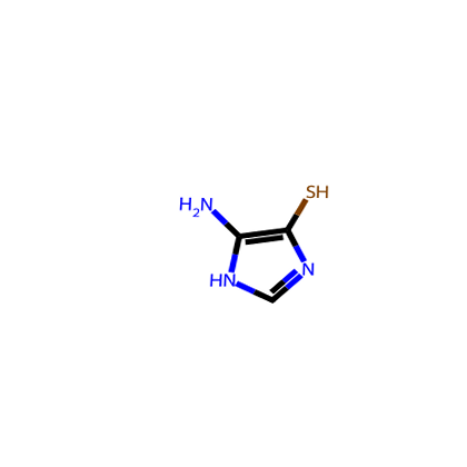 Nc1[nH]cnc1S